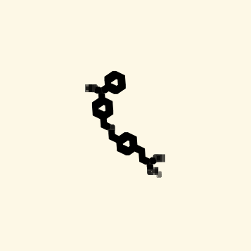 CB(O)CCc1ccc(COCc2ccc(B(O)c3ccccc3)cc2)cc1